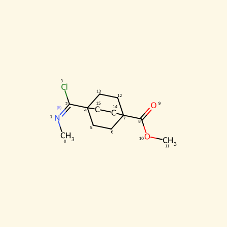 C/N=C(/Cl)C12CCC(C(=O)OC)(CC1)CC2